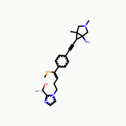 CP/C(=C\CCn1ccnc1[C@H](C)O)c1ccc(C#CC2C3(C)CN(C)CC23N)cc1